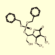 O=C1O[C@H]([C@H](CO)OP(=O)(OCc2ccccc2)OCc2ccccc2)C(OC(F)(F)F)=C1OC(F)(F)F